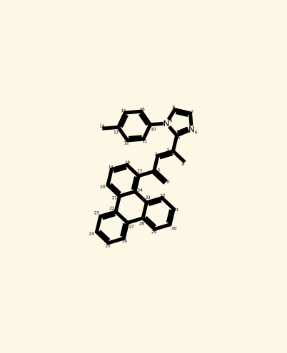 C=C(/C=C(\C)c1nccn1-c1ccc(C)cc1)c1cccc2c3ccccc3c3ccccc3c12